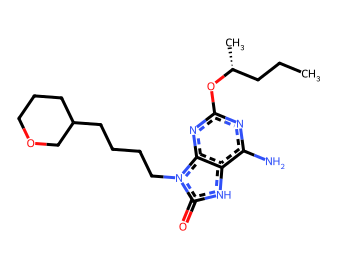 CCC[C@@H](C)Oc1nc(N)c2[nH]c(=O)n(CCCCC3CCCOC3)c2n1